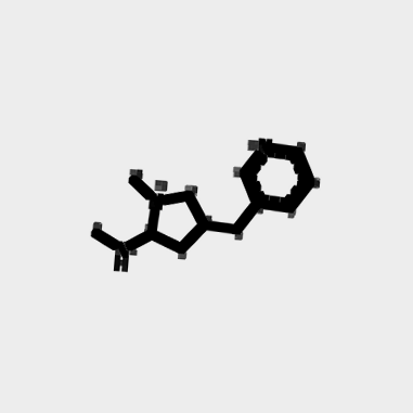 CNC1CC(Cc2cccnc2)CN1C